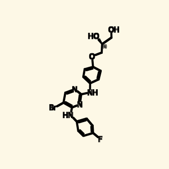 OC[C@H](O)COc1ccc(Nc2ncc(Br)c(Nc3ccc(F)cc3)n2)cc1